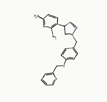 Nc1ccc(C2C=NN(Cc3ccc(OCc4ccccn4)cc3)C2)c(N)n1